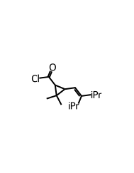 CC(C)C(=CC1C(C(=O)Cl)C1(C)C)C(C)C